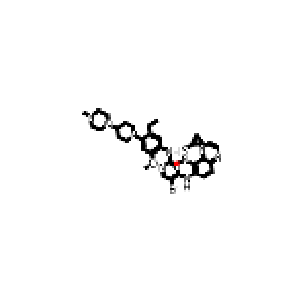 CCc1cc(Nc2ncc(Br)c(Nc3ccc4nccnc4c3N(C)SC3CC3)n2)c(OC)cc1N1CCC(N2CCN(C)CC2)CC1